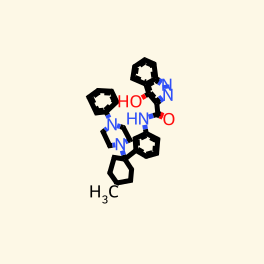 CC1CCC(c2cccc(NC(=O)c3nnc4ccccc4c3O)c2)(N2CCN(c3ccccc3)CC2)CC1